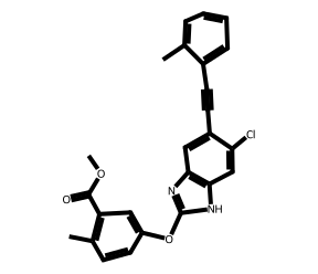 COC(=O)c1cc(Oc2nc3cc(C#Cc4ccccc4C)c(Cl)cc3[nH]2)ccc1C